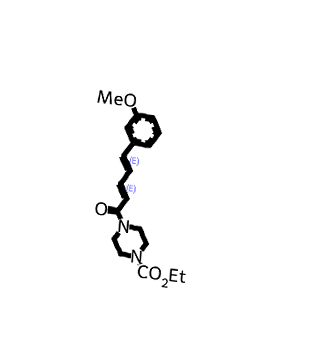 CCOC(=O)N1CCN(C(=O)/C=C/C=C/c2cccc(OC)c2)CC1